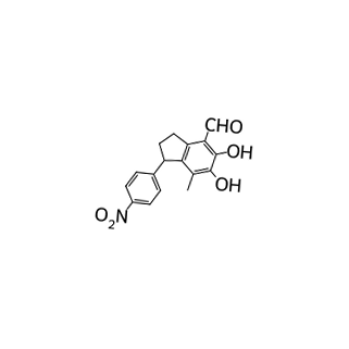 Cc1c(O)c(O)c(C=O)c2c1C(c1ccc([N+](=O)[O-])cc1)CC2